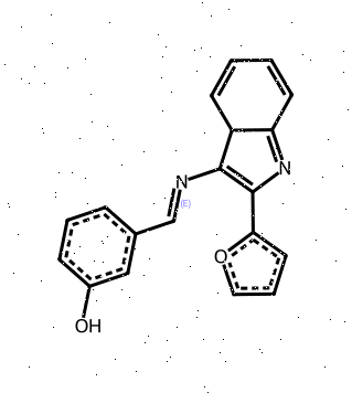 Oc1cccc(/C=N/C2=C(c3ccco3)N=C3C=CC=CC32)c1